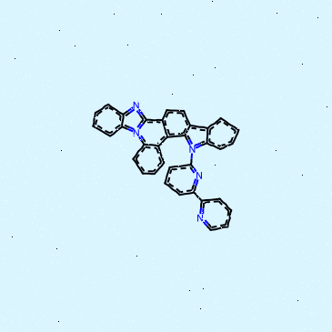 c1ccc(-c2cccc(-n3c4ccccc4c4ccc5c(c6ccccc6n6c7ccccc7nc56)c43)n2)nc1